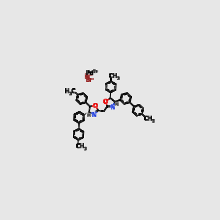 Cc1ccc(-c2cccc([C@H]3N=C(CC4=N[C@H](c5cccc(-c6ccc(C)cc6)c5)C(c5ccc(C)cc5)O4)OC3c3ccc(C)cc3)c2)cc1.[Br-].[Br-].[Pd+2]